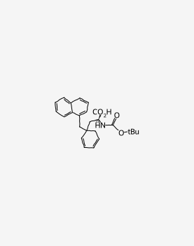 CC(C)(C)OC(=O)N[C@@H](CC1(Cc2cccc3ccccc23)C=CC=CC1)C(=O)O